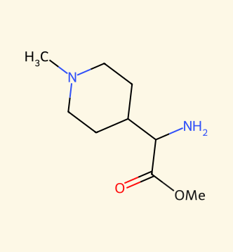 COC(=O)C(N)C1CCN(C)CC1